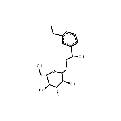 CCc1cccc([C@@H](O)COC2O[C@@H](CO)[C@H](O)[C@@H](O)[C@@H]2O)c1